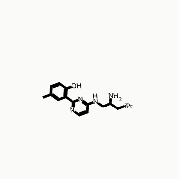 Cc1ccc(O)c(-c2nccc(NCC(N)CC(C)C)n2)c1